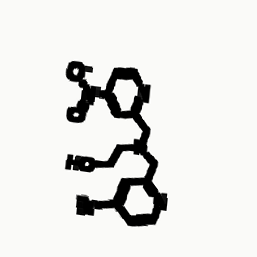 O=[N+]([O-])c1ccnc(CN(CCO)Cc2cc(Br)ccn2)c1